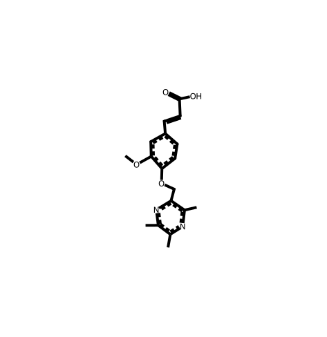 COc1cc(C=CC(=O)O)ccc1OCc1nc(C)c(C)nc1C